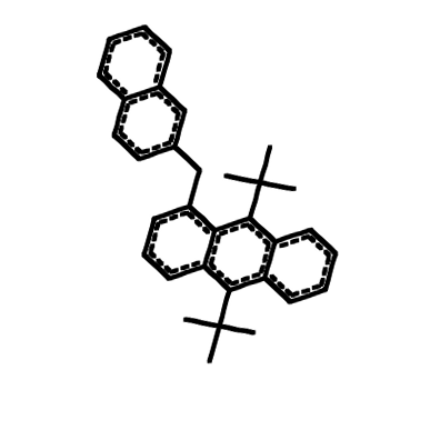 CC(C)(C)c1c2ccccc2c(C(C)(C)C)c2c(Cc3ccc4ccccc4c3)cccc12